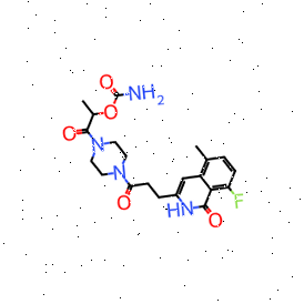 Cc1ccc(F)c2c(=O)[nH]c(CCC(=O)N3CCN(C(=O)C(C)OC(N)=O)CC3)cc12